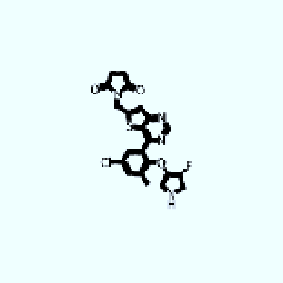 Cc1cc(Cl)cc(-c2ncnc3cc(CN4C(=O)CCC4=O)sc23)c1O[C@@H]1CNC[C@@H]1F